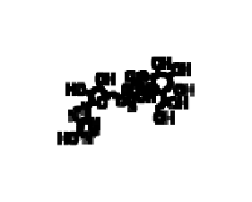 O=P(O)(O[C@@H]1OC([C@H](O)CO)[C@@H](O)[C@H](O)C1O)OP(O)(=S)OC[C@H]1O[C@@H](n2cnc3c(O)ncnc32)[C@@H](O)C1O